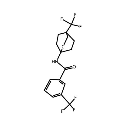 O=C(NC12CCC(C(F)(F)F)(CC1)CC2)c1cccc(C(F)(F)F)c1